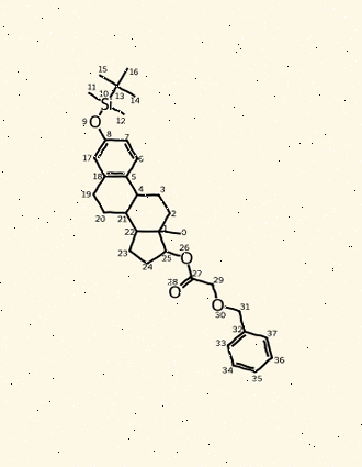 CC12CCC3c4ccc(O[Si](C)(C)C(C)(C)C)cc4CCC3C1CCC2OC(=O)COCc1ccccc1